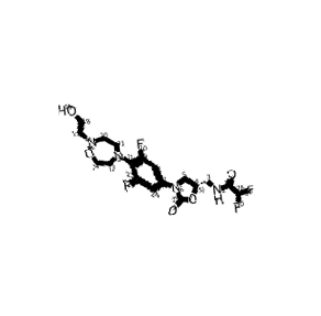 O=C(NC[C@H]1CN(c2cc(F)c(N3CCON(CCO)CC3)c(F)c2)C(=O)O1)C(F)F